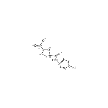 O=C(Nc1ccc(Cl)cc1)C1CCC([N+](=O)[O-])O1